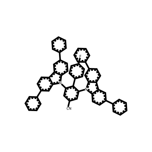 N#Cc1cc(-n2c3ccc(-c4ccccc4)cc3c3ccc(-c4ccccc4)cc32)c(-c2ccc(F)cc2)c(-n2c3ccc(-c4ccccc4)cc3c3ccc(-c4ccccc4)cc32)c1